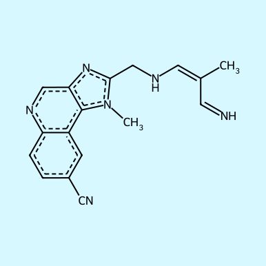 C/C(C=N)=C/NCc1nc2cnc3ccc(C#N)cc3c2n1C